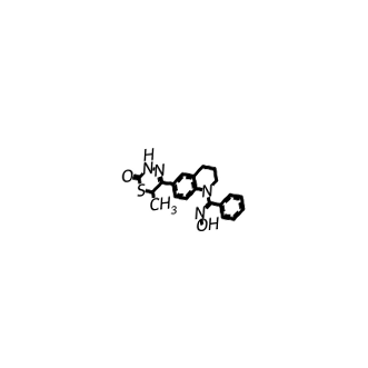 CC1SC(=O)NN=C1c1ccc2c(c1)CCCN2C(=NO)c1ccccc1